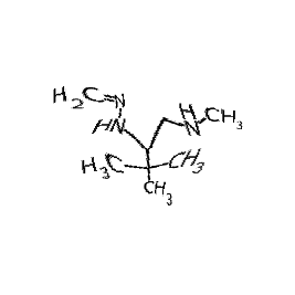 C=NNC(CNC)C(C)(C)C